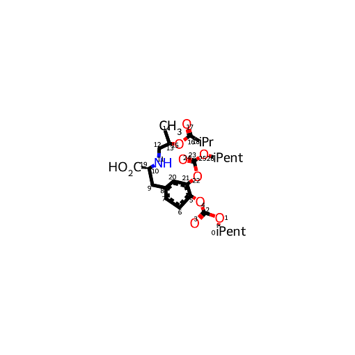 CCCC(C)OC(=O)Oc1ccc(C[C@H](NCC(C)OC(=O)C(C)C)C(=O)O)cc1OC(=O)OC(C)CCC